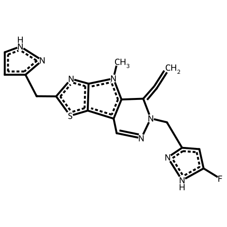 C=C=C1c2c(c3sc(Cc4cc[nH]n4)nc3n2C)C=NN1Cc1cc(F)[nH]n1